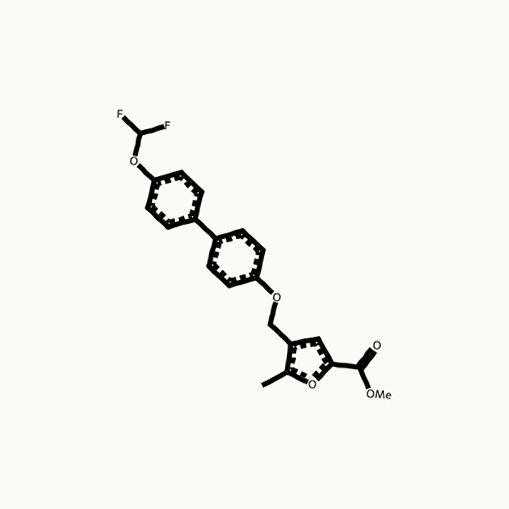 COC(=O)c1cc(COc2ccc(-c3ccc(OC(F)F)cc3)cc2)c(C)o1